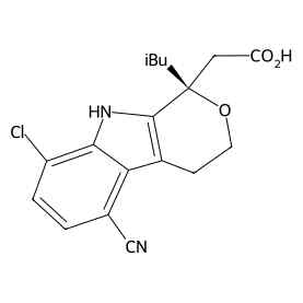 CCC(C)[C@@]1(CC(=O)O)OCCc2c1[nH]c1c(Cl)ccc(C#N)c21